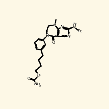 CCNc1ncc2c(n1)N(C)CCN(c1cccc(CCCCOC(N)=O)c1)C2=O